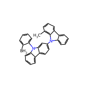 Bc1ccccc1-n1c2ccccc2c2ccc(-n3c4ccccc4c4cccc(C)c43)cc21